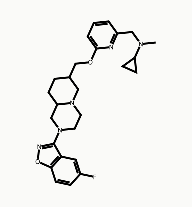 CN(Cc1cccc(OCC2CCC3CN(c4noc5ccc(F)cc45)CCN3C2)n1)C1CC1